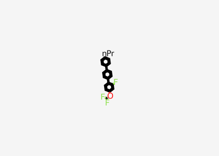 CCCc1ccc(-c2ccc(-c3ccc(OC(F)F)cc3F)cc2)cc1